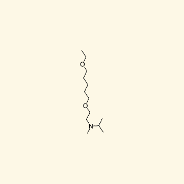 CCOCCCCCOCCN(C)C(C)C